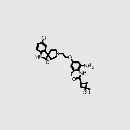 CC1(O)CC(C(=O)Nc2c(N)cc(OCCN3CCC4(CC3)C(=O)Nc3ccc(Cl)cc34)cc2F)C1